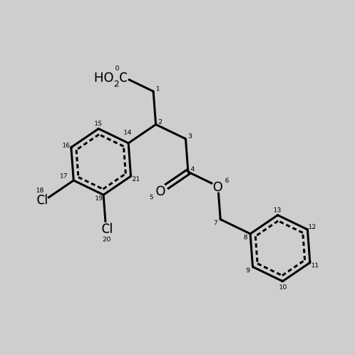 O=C(O)CC(CC(=O)OCc1ccccc1)c1ccc(Cl)c(Cl)c1